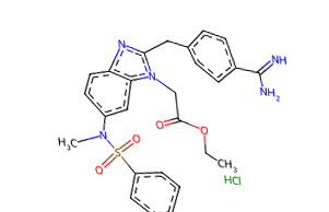 CCOC(=O)Cn1c(Cc2ccc(C(=N)N)cc2)nc2ccc(N(C)S(=O)(=O)c3ccccc3)cc21.Cl